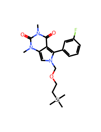 Cn1c(=O)c2c(-c3cccc(F)c3)n(COCC[Si](C)(C)C)cc2n(C)c1=O